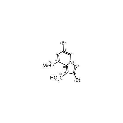 CCc1nn2cc(Br)cc(OC)c2c1C(=O)O